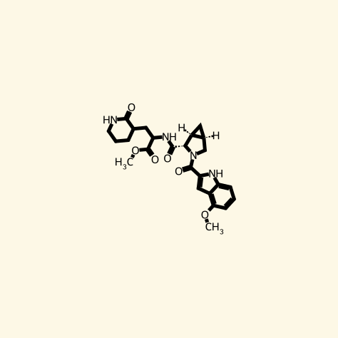 COC(=O)C(CC1CCCNC1=O)NC(=O)[C@@H]1[C@H]2C[C@H]2CN1C(=O)c1cc2c(OC)cccc2[nH]1